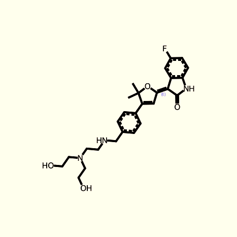 CC1(C)O/C(=C2/C(=O)Nc3ccc(F)cc32)C=C1c1ccc(CNCCN(CCO)CCO)cc1